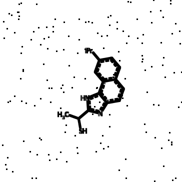 CC(C)c1ccc2ccc3nc(C(C)S)[nH]c3c2c1